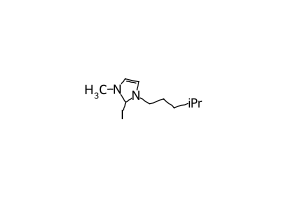 CC(C)CCCN1C=CN(C)C1I